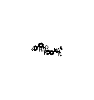 C=N/C=C(\C=C(/C)c1ccc2cnc(NC(=O)c3cccc(C4CCN(C)CC4)c3)cc2c1)NC(C)C